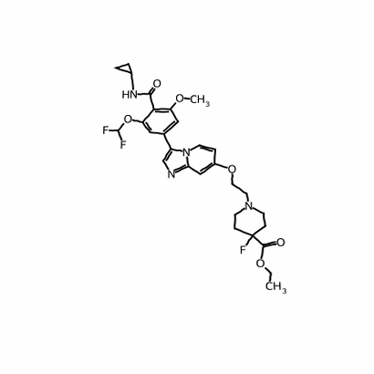 CCOC(=O)C1(F)CCN(CCOc2ccn3c(-c4cc(OC)c(C(=O)NC5CC5)c(OC(F)F)c4)cnc3c2)CC1